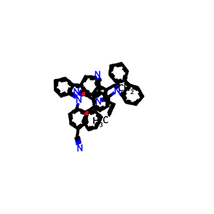 C=Cc1c(/C=C\C)n(-c2ccccc2)c2c1ccc1c3ccccc3n(-c3ccc(C#N)cc3-c3ccc(-n4c5ccccc5c5ccccc54)c(C#N)c3C#N)c12